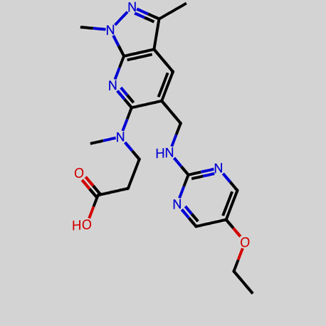 CCOc1cnc(NCc2cc3c(C)nn(C)c3nc2N(C)CCC(=O)O)nc1